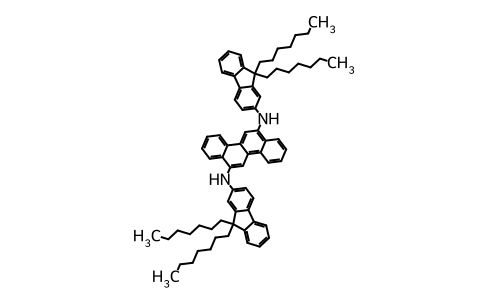 CCCCCCCC1(CCCCCCC)c2ccccc2-c2ccc(Nc3cc4c5ccccc5c(Nc5ccc6c(c5)C(CCCCCCC)(CCCCCCC)c5ccccc5-6)cc4c4ccccc34)cc21